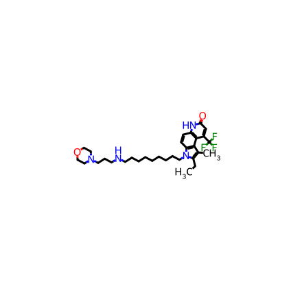 CCc1c(C)c2c3c(C(F)(F)F)cc(=O)[nH]c3ccc2n1CCCCCCCCCNCCCN1CCOCC1